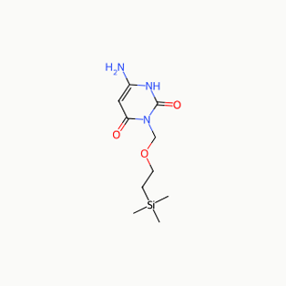 C[Si](C)(C)CCOCn1c(=O)cc(N)[nH]c1=O